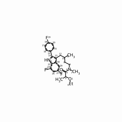 CCOC(C)C(=O)N(C)CCC(C)Cc1c(-c2ccc(F)cc2)[nH]c2c(F)cc(F)cc12